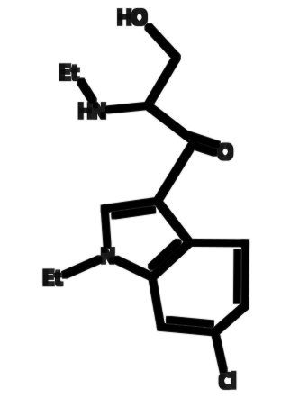 CCNC(CO)C(=O)c1cn(CC)c2cc(Cl)ccc12